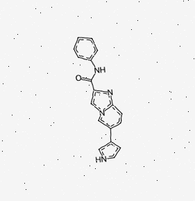 O=C(Nc1ccccc1)c1cn2cc(-c3cc[nH]c3)ccc2n1